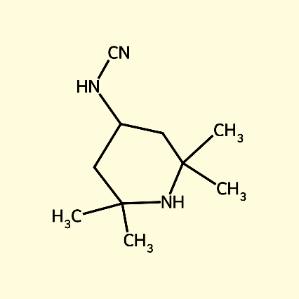 CC1(C)CC(NC#N)CC(C)(C)N1